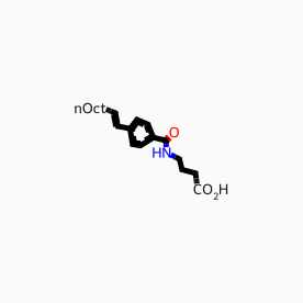 CCCCCCCC/C=C/c1ccc(C(=O)NCCCC(=O)O)cc1